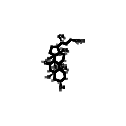 C[C@H](CCC(=O)O)C1CC[C@H]2[C@@H]3C(=O)C[C@@H]4C[C@H](O)CC[C@]4(C)[C@H]3CC[C@]12C